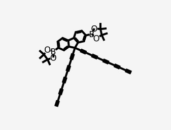 C#CC#CC#CC#CC#CC1(C#CC#CC#CC#CC#C)c2cc(B3OC(C)(C)C(C)(C)O3)ccc2-c2ccc(B3OC(C)(C)C(C)(C)O3)cc21